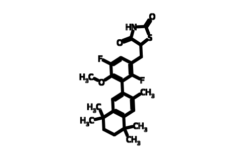 COc1c(F)cc(CC2SC(=O)NC2=O)c(F)c1-c1cc2c(cc1C)C(C)(C)CCC2(C)C